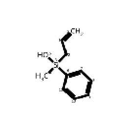 C=CC[Si](C)(O)c1ccccc1